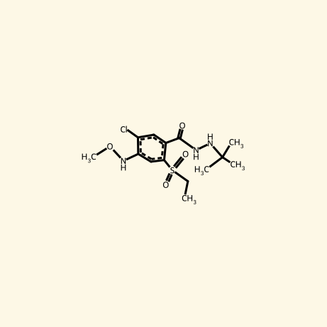 CCS(=O)(=O)c1cc(NOC)c(Cl)cc1C(=O)NNC(C)(C)C